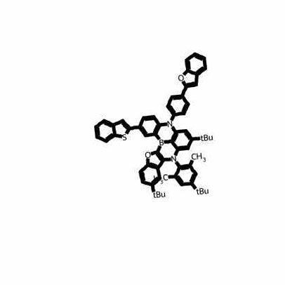 Cc1cc(C(C)(C)C)cc(C)c1N1c2cc(C(C)(C)C)cc3c2B(c2cc(-c4cc5ccccc5s4)ccc2N3c2ccc(-c3cc4ccccc4o3)cc2)c2oc3ccc(C(C)(C)C)cc3c21